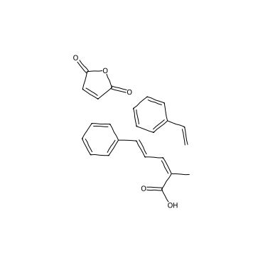 C=Cc1ccccc1.CC(=CC=Cc1ccccc1)C(=O)O.O=C1C=CC(=O)O1